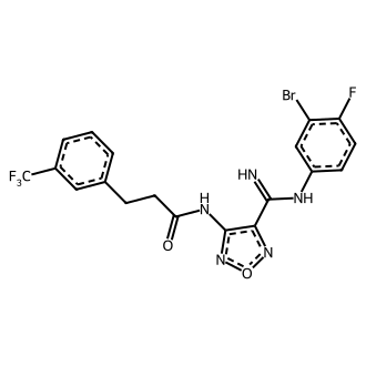 N=C(Nc1ccc(F)c(Br)c1)c1nonc1NC(=O)CCc1cccc(C(F)(F)F)c1